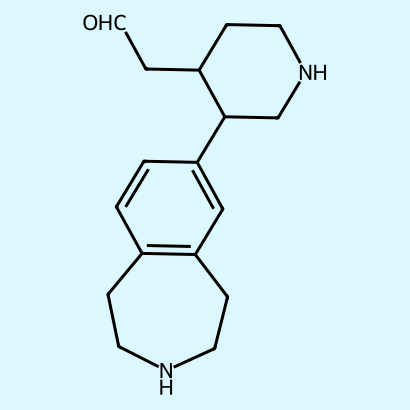 O=CCC1CCNCC1c1ccc2c(c1)CCNCC2